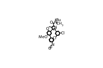 COc1cc2c(cc1-c1ccc(N=C=O)cc1)-c1c(c(C(=O)N(C)C(C)(C)C)nn1-c1cc(Cl)cc(Cl)c1)CO2